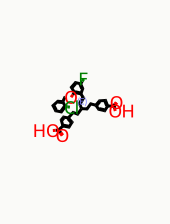 O=C(O)c1ccc(CCC(/C=C/c2cc(F)ccc2OCc2ccccc2Cl)CCc2ccc(C(=O)O)cc2)cc1